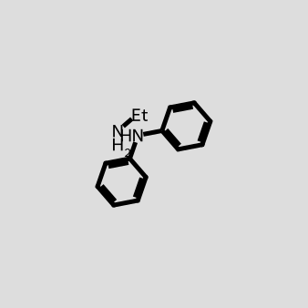 CCN.c1ccc(Nc2ccccc2)cc1